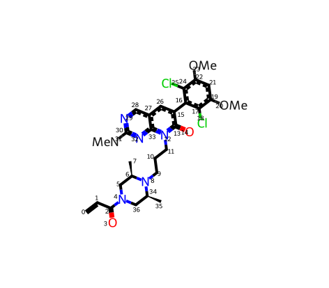 C=CC(=O)N1C[C@@H](C)N(CCCn2c(=O)c(-c3c(Cl)c(OC)cc(OC)c3Cl)cc3cnc(NC)nc32)[C@@H](C)C1